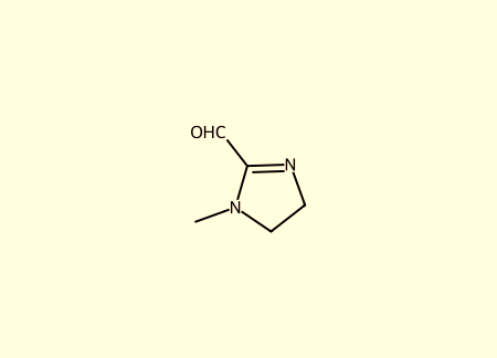 CN1CCN=C1C=O